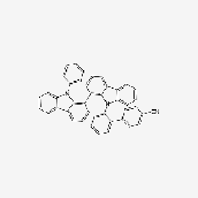 N#Cc1ccc(-c2ccccc2-n2c3ccccc3c3cccc(-c4cccc5c6ccccc6n(-c6ccccc6)c45)c32)cc1